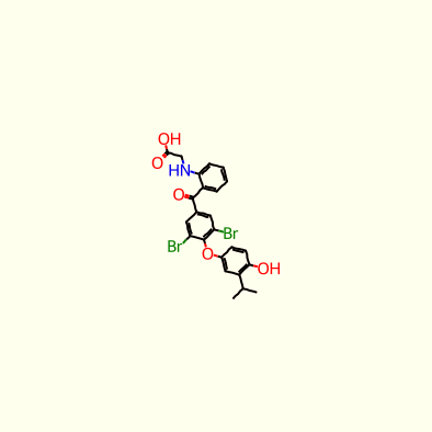 CC(C)c1cc(Oc2c(Br)cc(C(=O)c3ccccc3NCC(=O)O)cc2Br)ccc1O